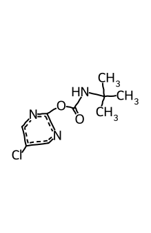 CC(C)(C)NC(=O)Oc1ncc(Cl)cn1